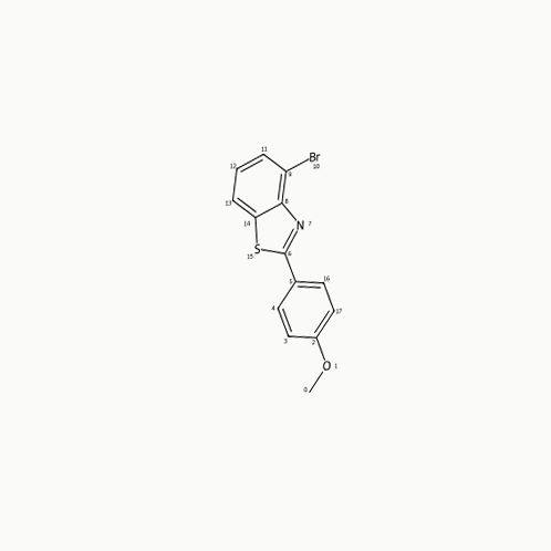 COc1ccc(-c2nc3c(Br)cccc3s2)cc1